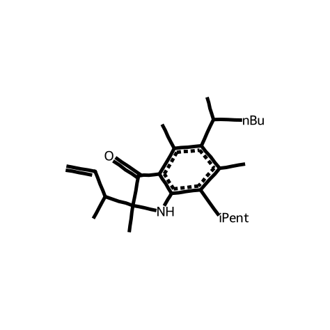 C=CC(C)C1(C)Nc2c(c(C)c(C(C)CCCC)c(C)c2C(C)CCC)C1=O